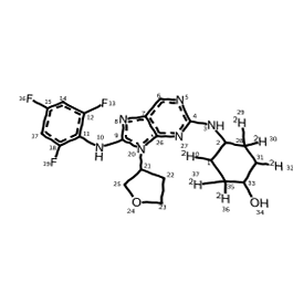 [2H]C1C(Nc2ncc3nc(Nc4c(F)cc(F)cc4F)n(C4CCOC4)c3n2)C([2H])([2H])C([2H])C(O)C1([2H])[2H]